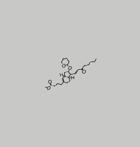 CCCCCC(=O)C=CC1C(OC2CCCCO2)C[C@H]2C=C(CCCC(=O)OC)CC[C@H]12